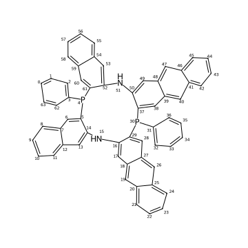 c1ccc(P2c3cc4ccccc4cc3Nc3cc4cc5ccccc5cc4cc3P(c3ccccc3)c3cc4cc5ccccc5cc4cc3Nc3cc4ccccc4cc32)cc1